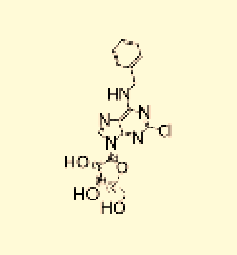 OC[C@H]1O[C@@H](n2cnc3c(NCc4ccccc4)nc(Cl)nc32)[C@@H](O)[C@H]1O